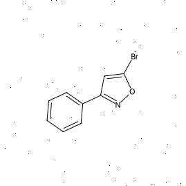 Brc1cc(-c2ccccc2)no1